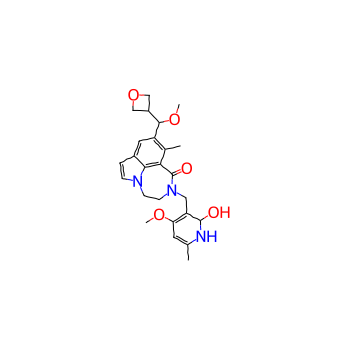 COC1=C(CN2CCn3ccc4cc(C(OC)C5COC5)c(C)c(c43)C2=O)C(O)NC(C)=C1